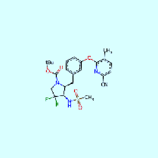 Cc1ccc(C#N)nc1Oc1cccc(C[C@H]2[C@@H](NS(C)(=O)=O)C(F)(F)CN2C(=O)OC(C)(C)C)c1